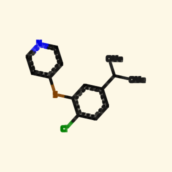 COC(OC)c1ccc(Cl)c(Sc2ccncc2)c1